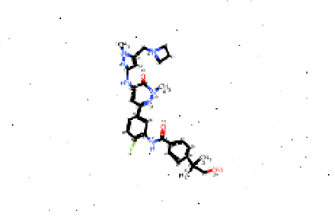 Cn1nc(Nc2cc(-c3ccc(F)c(NC(=O)c4ccc(C(C)(C)CO)cc4)c3)nn(C)c2=O)cc1CN1CCC1